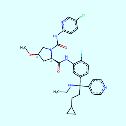 CCNC(CCC1CC1)(c1ccncc1)c1ccc(F)c(NC(=O)[C@H]2C[C@@H](OC)CN2C(=O)Nc2ccc(Cl)cn2)c1